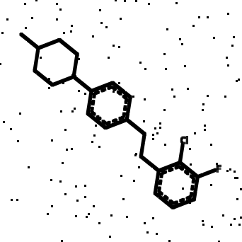 CC1CCC(c2ccc(CCc3cccc(F)c3Cl)cc2)CC1